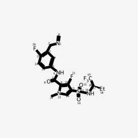 C=NCc1cc(NC(=O)c2c(F)c(S(=O)(=O)N[C@H](CC)C(F)(F)F)cn2C)ccc1F